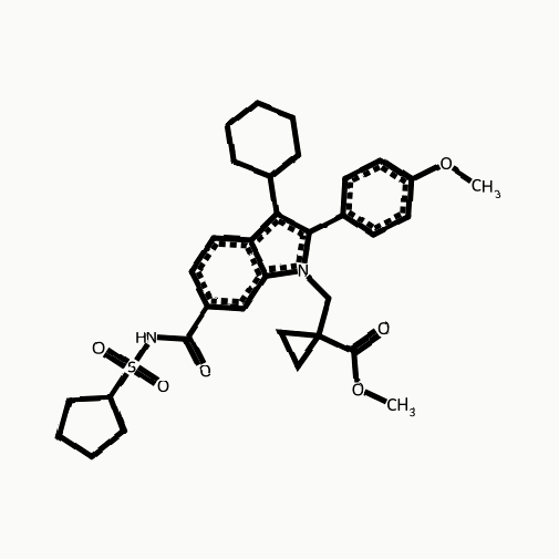 COC(=O)C1(Cn2c(-c3ccc(OC)cc3)c(C3CCCCC3)c3ccc(C(=O)NS(=O)(=O)C4CCCC4)cc32)CC1